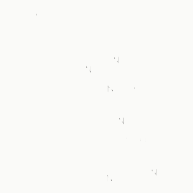 CCCOc1ccnc(N2CCN(C(=O)c3cccnc3C#N)CC2)n1.Cl